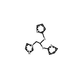 c1csc(SC(Cn2ccnc2)Sc2cccs2)c1